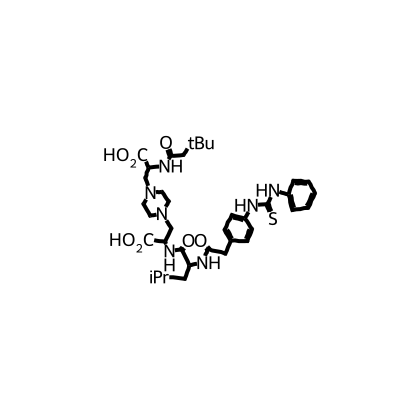 CC(C)CC(NC(=O)Cc1ccc(NC(=S)Nc2ccccc2)cc1)C(=O)NC(CN1CCN(CC(NC(=O)CC(C)(C)C)C(=O)O)CC1)C(=O)O